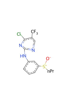 CCC[S+]([O-])c1cccc(Nc2ncc(C(F)(F)F)c(Cl)n2)c1